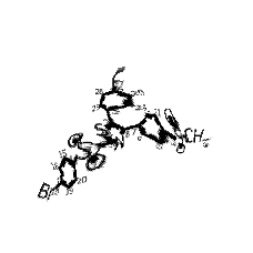 CS(=O)(=O)c1ccc(-c2nc(S(=O)(=O)c3ccc(Br)cc3)sc2-c2ccc(F)cc2)cc1